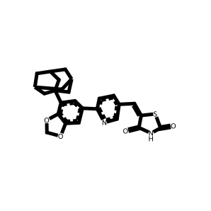 O=C1NC(=O)/C(=C\c2ccc(-c3cc4c(c(C56CC7CC(CC(C7)C5)C6)c3)OCO4)nc2)S1